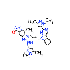 CCn1nc(C)cc1CNc1nc2cc(C(N)=O)cc(C)c2n1C/C=C/Cn1c2ccccc2c2cnc(-c3cc(C)nn3CC)nc21